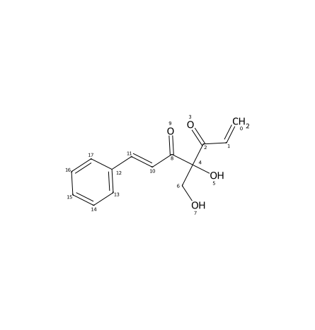 C=CC(=O)C(O)(CO)C(=O)C=Cc1ccccc1